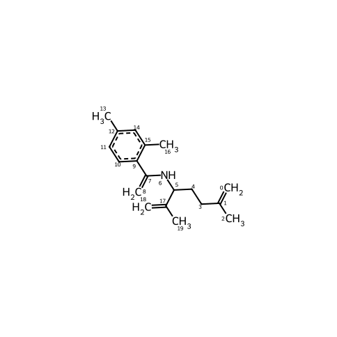 C=C(C)CCC(NC(=C)c1ccc(C)cc1C)C(=C)C